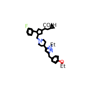 CCOc1ccc(Cc2cc(C3CCN(CC4CC([C@H](CC5CC5)C(=O)O)CC4c4cccc(F)c4)CC3)n(CC)n2)cc1